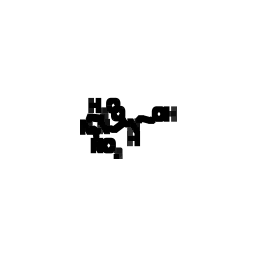 O.O=C(Cn1ccnc1[N+](=O)[O-])NCCO